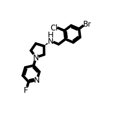 Fc1ccc(N2CC[C@H](NCc3ccc(Br)cc3Cl)C2)cn1